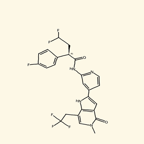 Cn1cc(CC(F)(F)F)c2[nH]c(-c3ccnc(NC(=O)[C@H](CC(F)F)c4ccc(F)cc4)c3)cc2c1=O